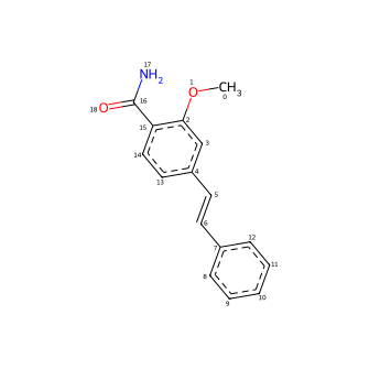 COc1cc(C=Cc2ccccc2)ccc1C(N)=O